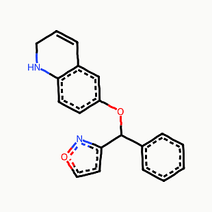 C1=Cc2cc(OC(c3ccccc3)c3ccon3)ccc2NC1